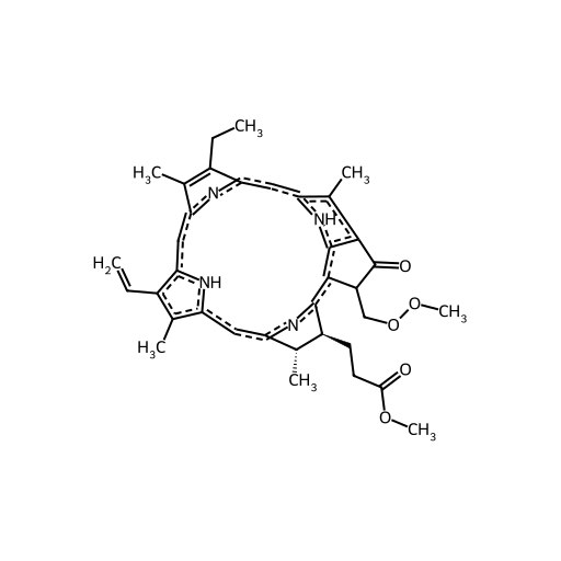 C=Cc1c(C)c2cc3nc(c4c5[nH]c(cc6nc(cc1[nH]2)C(C)=C6CC)c(C)c5C(=O)C4COOC)[C@@H](CCC(=O)OC)[C@@H]3C